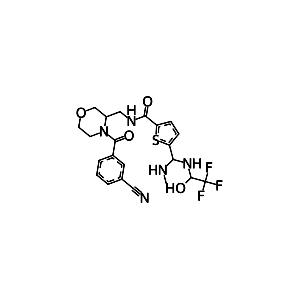 CNC(NC(O)C(F)(F)F)c1ccc(C(=O)NCC2COCCN2C(=O)c2cccc(C#N)c2)s1